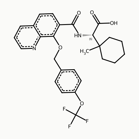 CC1([C@H](NC(=O)c2ccc3cccnc3c2OCc2ccc(OC(F)(F)F)cc2)C(=O)O)CCCCC1